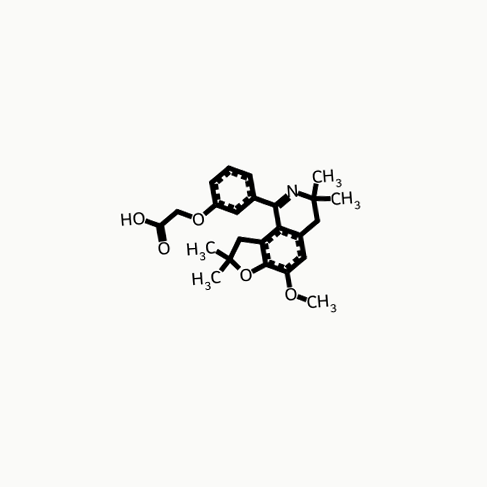 COc1cc2c(c3c1OC(C)(C)C3)C(c1cccc(OCC(=O)O)c1)=NC(C)(C)C2